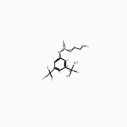 FC(F)(F)c1cc(O[PH](=S)SCC[SiH3])cc(C(F)(F)F)c1